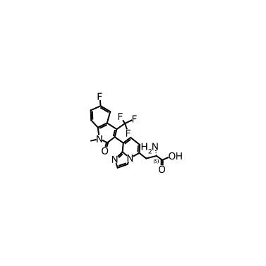 Cn1c(=O)c(-c2ccc(C[C@H](N)C(=O)O)n3ccnc23)c(C(F)(F)F)c2cc(F)ccc21